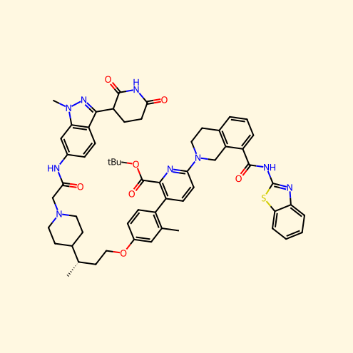 Cc1cc(OCC[C@H](C)C2CCN(CC(=O)Nc3ccc4c(C5CCC(=O)NC5=O)nn(C)c4c3)CC2)ccc1-c1ccc(N2CCc3cccc(C(=O)Nc4nc5ccccc5s4)c3C2)nc1C(=O)OC(C)(C)C